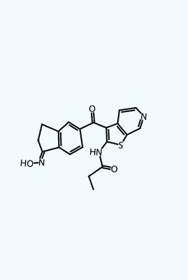 CCC(=O)Nc1sc2cnccc2c1C(=O)c1ccc2c(c1)CCC2=NO